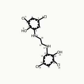 Oc1c(Cl)cc(Cl)cc1NCCNc1cc(Cl)cc(Cl)c1O